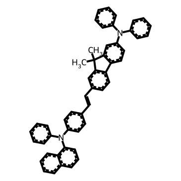 CC1(C)c2cc(/C=C/c3ccc(N(c4ccccc4)c4cccc5ccccc45)cc3)ccc2-c2ccc(N(c3ccccc3)c3ccccc3)cc21